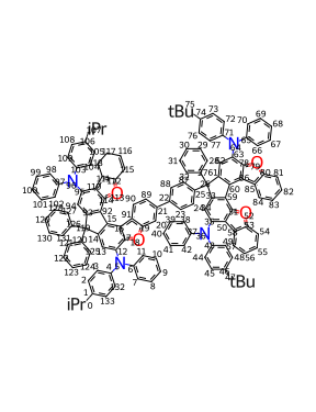 CC(C)c1ccc(N(c2ccccc2)c2cc3c(c4c2oc2cc(-c5ccc(C6(c7ccccc7)c7cc(N(c8ccccc8)c8ccc(C(C)(C)C)cc8)c8c(oc9ccccc98)c7-c7c6cc(N(c6ccccc6)c6ccc(C(C)(C)C)cc6)c6oc8ccccc8c76)cc5)ccc24)-c2c(cc(N(c4ccccc4)c4ccc(C(C)C)cc4)c4c5c(oc24)C=CCC5)C3(c2ccccc2)c2ccccc2)cc1